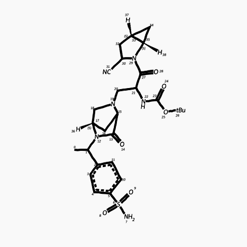 CC(c1ccc(S(N)(=O)=O)cc1)N1C(=O)C2C[C@H]1CN2CC(NC(=O)OC(C)(C)C)C(=O)N1C(C#N)C[C@@H]2C[C@@H]21